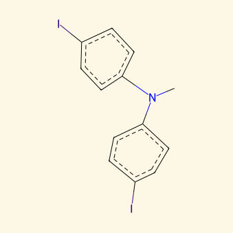 CN(c1ccc(I)cc1)c1ccc(I)cc1